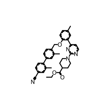 CCOC(=O)C1CCN(c2nccc(-c3cc(C)ccc3OCc3ccc(-c4ccc(C#N)cc4C)cc3C)n2)CC1